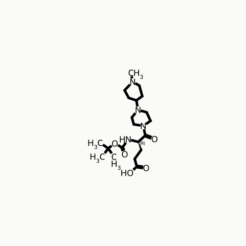 CN1CCC(N2CCN(C(=O)[C@@H](CCC(=O)O)NC(=O)OC(C)(C)C)CC2)CC1